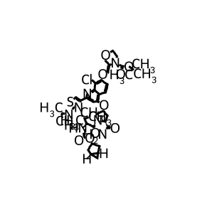 CC(C)Nc1nc(-c2cc(OC3C[C@@H](C(N)=O)N(C(=O)[C@@H](NC(=O)O[C@@H]4C[C@@H]5C[C@@H]5C4)C(C)(C)C)C3)c3ccc(O/C=C4\COCCN4C(=O)OC(C)(C)C)c(Cl)c3n2)cs1